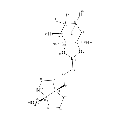 CC1(C)[C@H]2C[C@H]3OB(CCC[C@@]45CCC[C@]4(C(=O)O)NCC5)O[C@@]3(C)[C@H]1C2